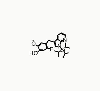 COc1cc(Cc2cn([Si](C(C)C)(C(C)C)C(C)C)c3ncccc23)c(F)cc1O